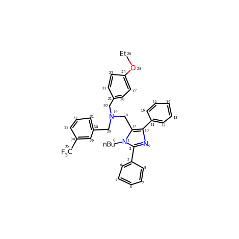 CCCCn1c(-c2ccccc2)nc(-c2ccccc2)c1CN(Cc1ccc(OCC)cc1)Cc1cccc(C(F)(F)F)c1